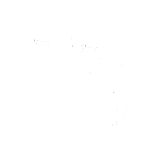 COC1CCC(/C=C/C2CC(/C=C/C3CCC(CO)CC3)C(CO)CC2OC)CC1